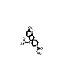 Cc1ccc2c(n1)CC1(CCN(C(=O)OC(C)(C)C)CC1)[C@H]2N[S@+]([O-])C(C)(C)C